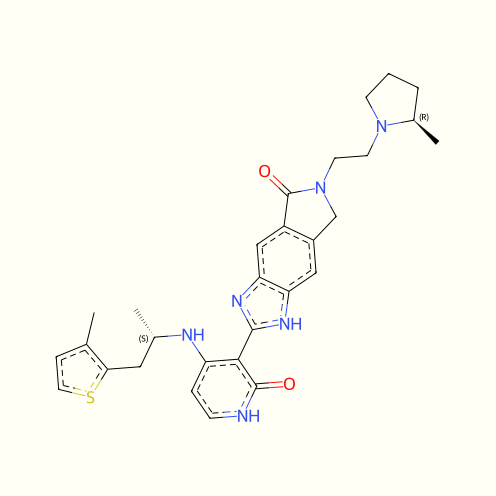 Cc1ccsc1C[C@H](C)Nc1cc[nH]c(=O)c1-c1nc2cc3c(cc2[nH]1)CN(CCN1CCC[C@H]1C)C3=O